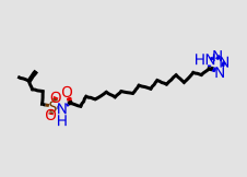 C=C(C)CCCS(=O)(=O)NC(=O)CCCCCCCCCCCCCCCc1nnn[nH]1